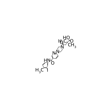 Cc1ccc(NC(=O)c2ccc(N3CCN(C(=O)CC(C)(C)C(=O)O)CC3)nc2)cc1I